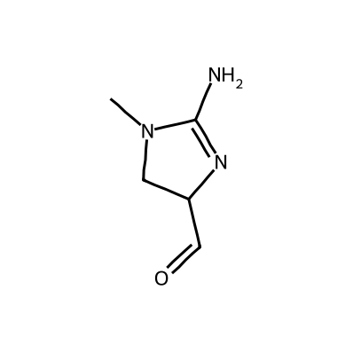 CN1CC(C=O)N=C1N